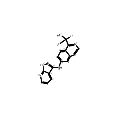 CCCC(F)(F)c1nccc2cc(Nc3n[nH]c4ncccc34)ccc12